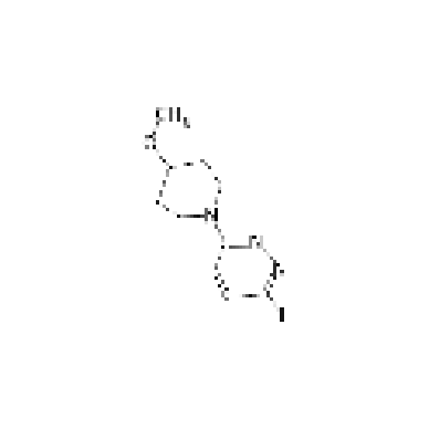 COC1CCN(c2ccc(I)nn2)CC1